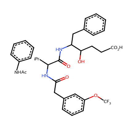 CC(=O)Nc1ccccc1.CC(C)C(NC(=O)Cc1cccc(OC(F)(F)F)c1)C(=O)NC(Cc1ccccc1)C(O)CCC(=O)O